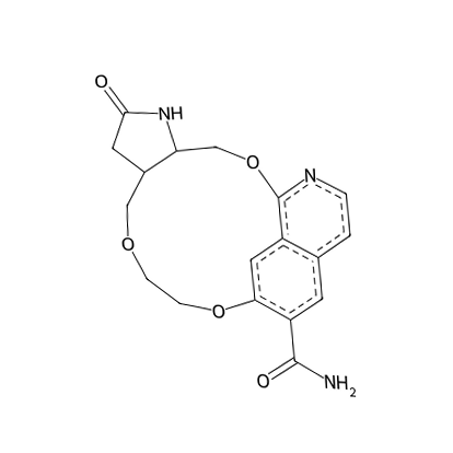 NC(=O)c1cc2ccnc3c2cc1OCCOCC1CC(=O)NC1CO3